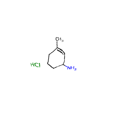 CC1=CC(N)CCC1.Cl